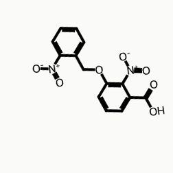 O=C(O)c1cccc(OCc2ccccc2[N+](=O)[O-])c1[N+](=O)[O-]